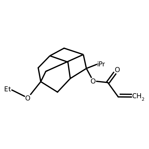 C=CC(=O)OC1(C(C)C)C2CC3CC1CC(OCC)(C3)C2